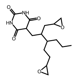 CCCC(CCC1CO1)C(CC1CO1)CC1C(=O)NC(=O)NC1=O